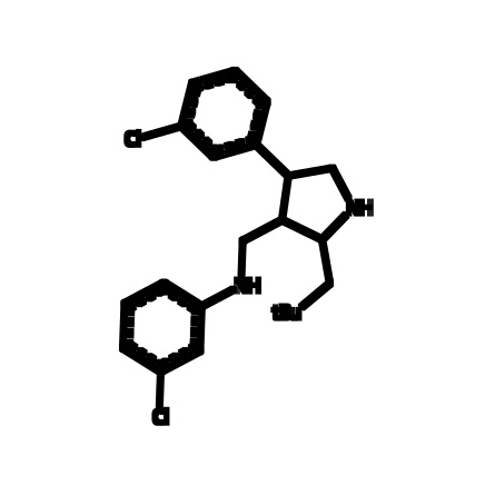 CC(C)(C)CC1NCC(c2cccc(Cl)c2)C1CNc1cccc(Cl)c1